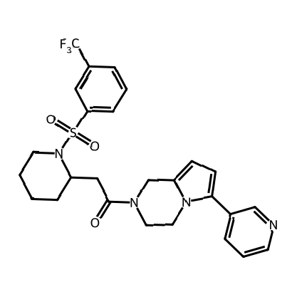 O=C(CC1CCCCN1S(=O)(=O)c1cccc(C(F)(F)F)c1)N1CCn2c(ccc2-c2cccnc2)C1